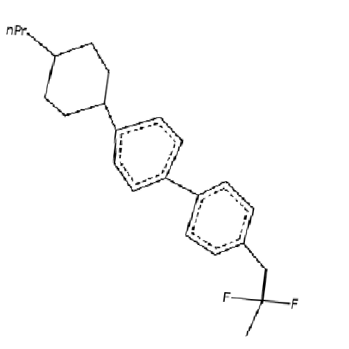 CCCC1CCC(c2ccc(-c3ccc(CC(C)(F)F)cc3)cc2)CC1